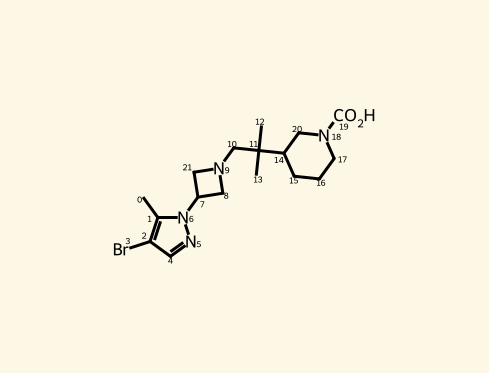 Cc1c(Br)cnn1C1CN(CC(C)(C)C2CCCN(C(=O)O)C2)C1